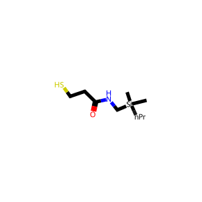 CCC[Si](C)(C)CNC(=O)CCS